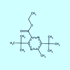 CCOC(=O)c1nc(C(C)(C)C)c(C)nc1C(C)(C)C